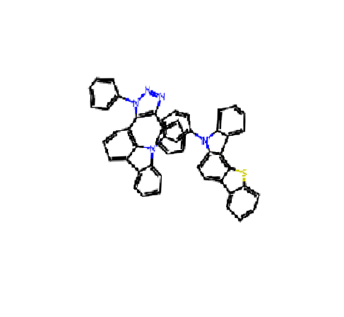 c1ccc(-c2nnn(-c3ccccc3)c2-c2cccc3c4ccccc4n(-c4cccc(-n5c6ccccc6c6c7sc8ccccc8c7ccc65)c4)c23)cc1